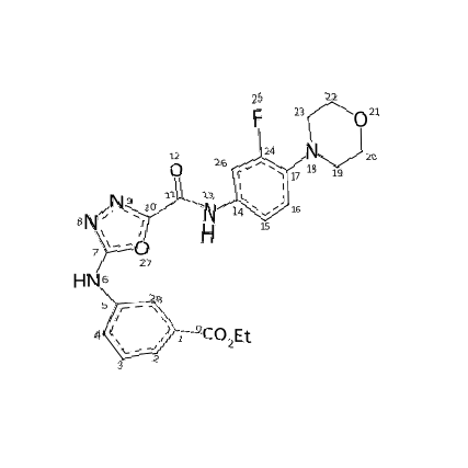 CCOC(=O)c1cccc(Nc2nnc(C(=O)Nc3ccc(N4CCOCC4)c(F)c3)o2)c1